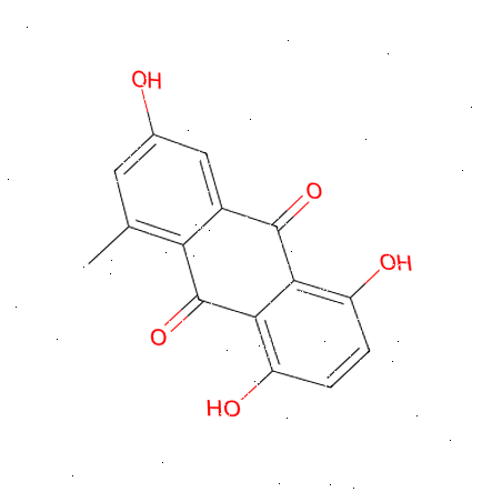 Cc1cc(O)cc2c1C(=O)c1c(O)ccc(O)c1C2=O